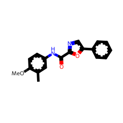 COc1ccc(NC(=O)c2ncc(-c3ccccc3)o2)cc1C